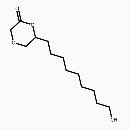 CCCCCCCCCCC1COCC(=O)O1